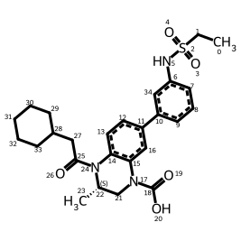 CCS(=O)(=O)Nc1cccc(-c2ccc3c(c2)N(C(=O)O)C[C@H](C)N3C(=O)CC2CCCCC2)c1